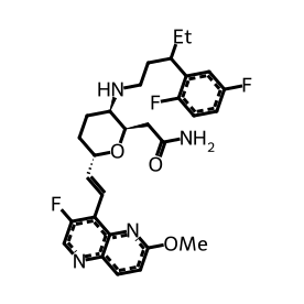 CCC(CCN[C@@H]1CC[C@@H](/C=C/c2c(F)cnc3ccc(OC)nc23)O[C@@H]1CC(N)=O)c1cc(F)ccc1F